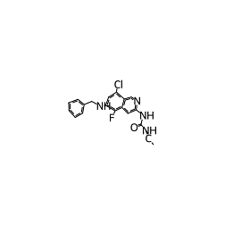 CCNC(=O)Nc1cc2c(F)c(NCc3ccccc3)cc(Cl)c2cn1